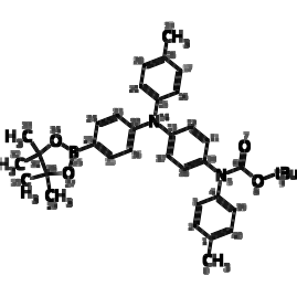 Cc1ccc(N(C(=O)OC(C)(C)C)c2ccc(N(c3ccc(C)cc3)c3ccc(B4OC(C)(C)C(C)(C)O4)cc3)cc2)cc1